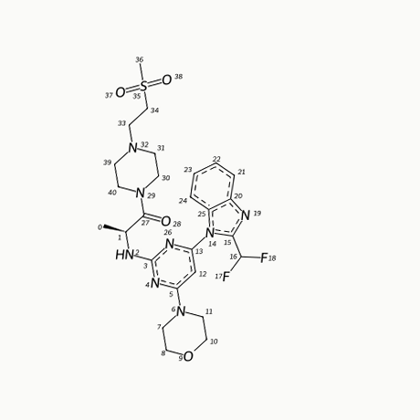 C[C@H](Nc1nc(N2CCOCC2)cc(-n2c(C(F)F)nc3ccccc32)n1)C(=O)N1CCN(CCS(C)(=O)=O)CC1